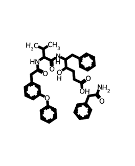 CC(C)C(NC(=O)Cc1cccc(Oc2ccccc2)c1)C(=O)NC(Cc1ccccc1)C(O)CCC(=O)O.NC(=O)Cc1ccccc1